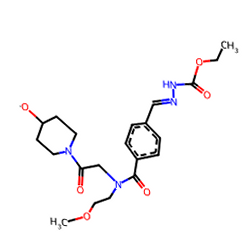 CCOC(=O)NN=Cc1ccc(C(=O)N(CCOC)CC(=O)N2CCC([O])CC2)cc1